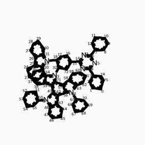 c1ccc(-c2nc(-c3ccccc3)nc(-c3ccc(-n4c5ccccc5c5ccccc54)c(-n4c5ccccc5c5c6c(c7ccccc7n6-c6ccccc6)c6c(c7ccccc7n6-c6ccccc6)c54)c3)n2)cc1